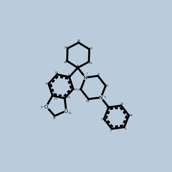 c1ccc(N2CCN(C3(c4ccc5c(c4)OCO5)CCCCC3)CC2)cc1